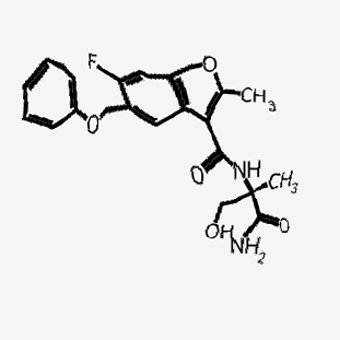 Cc1oc2cc(F)c(Oc3ccccc3)cc2c1C(=O)N[C@@](C)(CO)C(N)=O